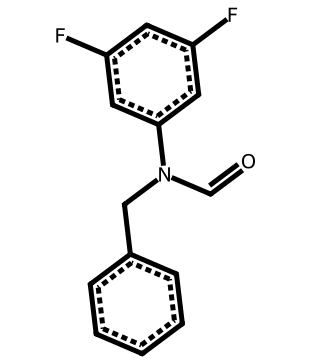 O=CN(Cc1ccccc1)c1cc(F)cc(F)c1